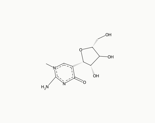 Cn1cc([C@@H]2O[C@H](CO)C(O)[C@@H]2O)c(=O)nc1N